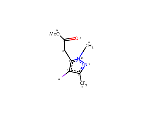 COC(=O)Cc1c(I)c(C(F)(F)F)nn1C